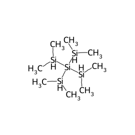 C[SiH](C)[Si]([SiH](C)C)([SiH](C)C)[SiH](C)C